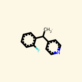 [CH2]C(c1ccncc1)c1ccccc1F